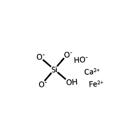 [Ca+2].[Fe+2].[O-][Si]([O-])([O-])O.[OH-]